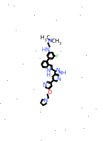 CN(C)CCNc1cc(F)cc(-c2cccc3[nH]c(-c4n[nH]c5ncc(-c6cncc(OCCN7CCCC7)c6)cc45)cc23)c1